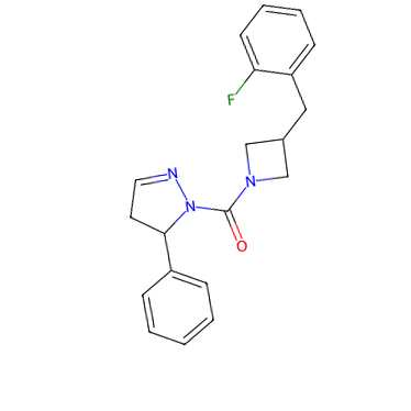 O=C(N1CC(Cc2ccccc2F)C1)N1N=CCC1c1ccccc1